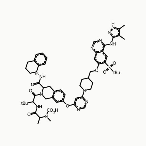 Cc1[nH]nc(Nc2ncnc3cc(OCC4CCN(c5cc(Oc6ccc7c(c6)CN(C(=O)C(NC(=O)C(C)N(C)C(=O)O)C(C)(C)C)C(C(=O)N[C@@H]6CCCc8ccccc86)C7)ncn5)CC4)c(S(=O)(=O)C(C)(C)C)cc23)c1C